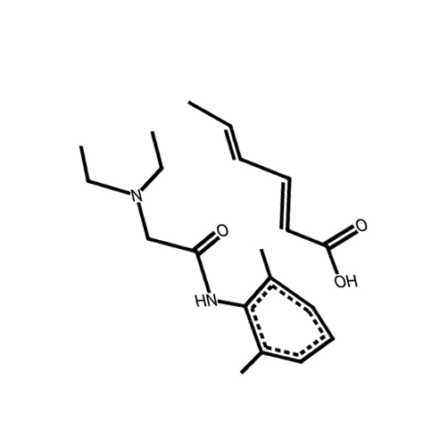 CC=CC=CC(=O)O.CCN(CC)CC(=O)Nc1c(C)cccc1C